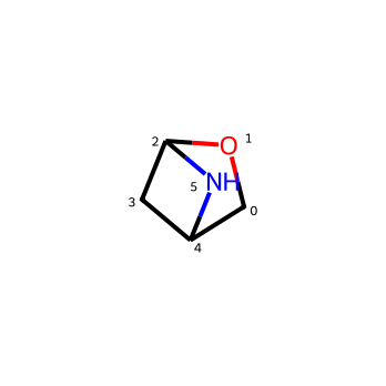 C1OC2CC1N2